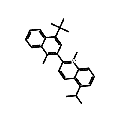 Cc1c(-c2ccc3c(C(C)C)cccc3[n+]2C)cc(C(C)(C)C)c2ccccc12